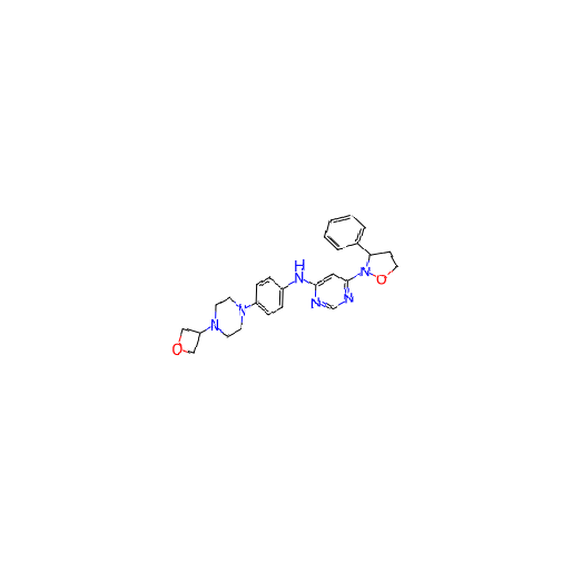 c1ccc(C2CCON2c2cc(Nc3ccc(N4CCN(C5COC5)CC4)cc3)ncn2)cc1